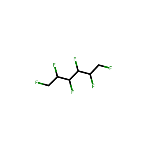 FCC(F)C(F)C(F)C(F)CF